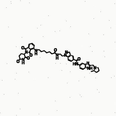 CC1CCCN1Cc1nc2cc(NC(=O)c3ccc4c(cnn4CCNC(=O)CCCCCCNc4cccc5c4C(=O)N(C4CCC(=O)NC4=O)C5=O)c3)ccc2[nH]1